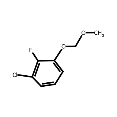 COCOc1cccc(Cl)c1F